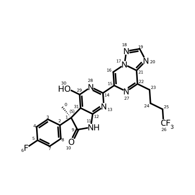 C[C@@]1(c2ccc(F)cc2)C(=O)Nc2nc(-c3cn4ncnc4c(CCCC(F)(F)F)n3)nc(O)c21